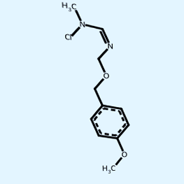 COc1ccc(COC/N=C\N(C)Cl)cc1